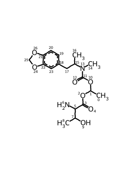 CC(OC(=O)C(N)C(C)O)OC(=O)N(C)C(C)Cc1ccc2c(c1)OCO2